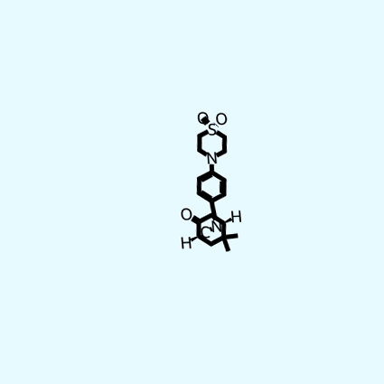 CC1(C)C[C@H]2CN(c3ccc(N4CCS(=O)(=O)CC4)cc3)[C@@H]1CC2=O